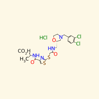 C[C@H](NC(=O)c1csc(SCC(=O)NC[C@H]2CN(Cc3ccc(Cl)c(Cl)c3)CCO2)n1)C(=O)O.Cl